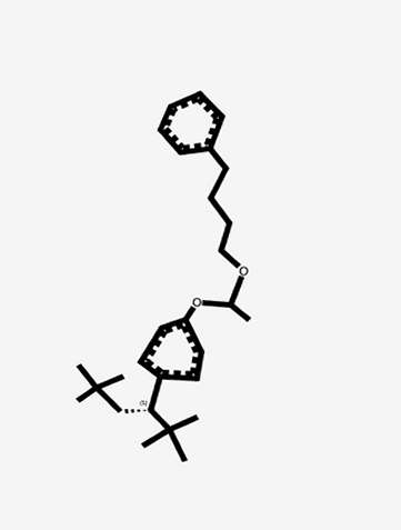 CC(OCCCCc1ccccc1)Oc1ccc([C@@H](CC(C)(C)C)C(C)(C)C)cc1